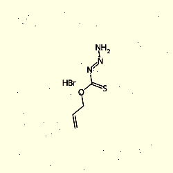 Br.C=CCOC(=S)N=NN